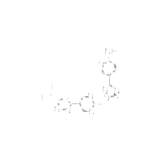 Nc1ccc(-c2nnn(Cc3ncc(-c4nnc(C(F)F)o4)cn3)n2)cn1